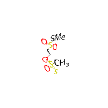 CSS(=O)(=O)CCOS(C)(=O)=S